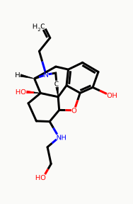 C=CCN1CC[C@@]23c4c5ccc(O)c4OC2C(NCCO)CC[C@]3(O)[C@@H]1C5